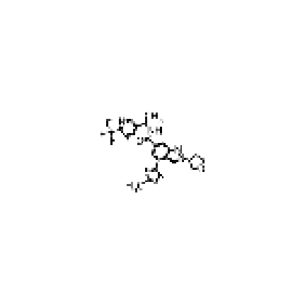 Cc1cnc(-c2cc(C(=O)NC(C)c3cnc(C(F)(F)F)nc3)cc3nn(C4CCOC4)cc23)s1